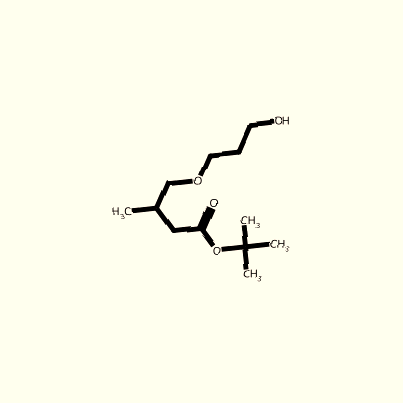 CC(COCCCO)CC(=O)OC(C)(C)C